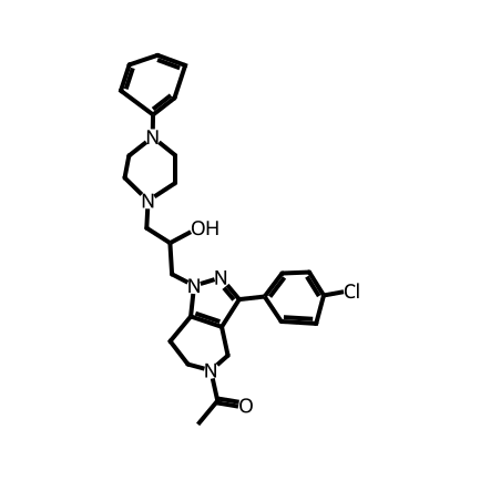 CC(=O)N1CCc2c(c(-c3ccc(Cl)cc3)nn2CC(O)CN2CCN(c3ccccc3)CC2)C1